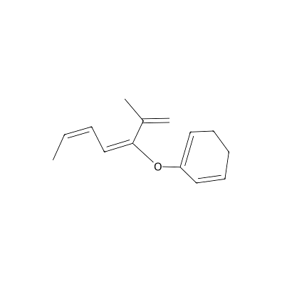 C=C(C)/C(=C\C=C/C)OC1=CCCC=C1